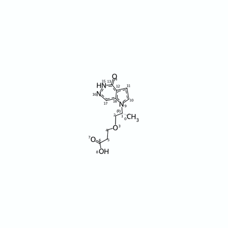 C[C@H](COCCC(=O)O)n1ccc2c(=O)[nH]ncc21